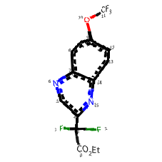 CCOC(=O)C(F)(F)c1cnc2cc(OC(F)(F)F)ccc2n1